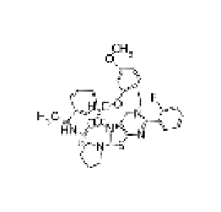 COc1ccc(CN2Cc3c(sc(N4CCC[C@@H]4C(=O)N[C@H](C)c4ccccc4)[n+]3[O-])N=C2c2ccccc2F)c(OC)c1